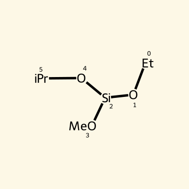 CCO[Si](OC)OC(C)C